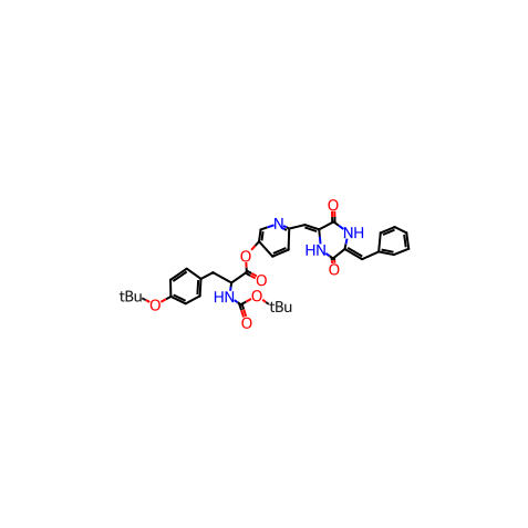 CC(C)(C)OC(=O)NC(Cc1ccc(OC(C)(C)C)cc1)C(=O)Oc1ccc(C=c2[nH]c(=O)c(=Cc3ccccc3)[nH]c2=O)nc1